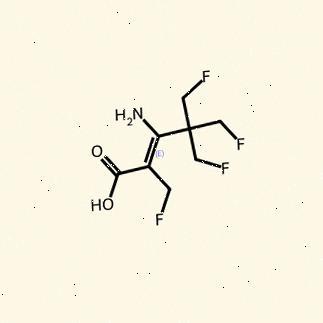 N/C(=C(/CF)C(=O)O)C(CF)(CF)CF